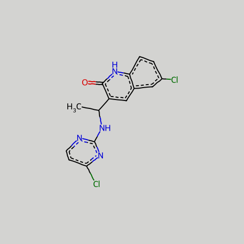 CC(Nc1nccc(Cl)n1)c1cc2cc(Cl)ccc2[nH]c1=O